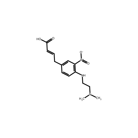 CN(C)CCNc1ccc(CC=CC(=O)O)cc1[N+](=O)[O-]